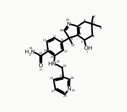 CC1(C)CC2=C(C(O)C1)C(C)(c1ccc(C(N)=O)c(NCc3cccnc3)c1)C=N2